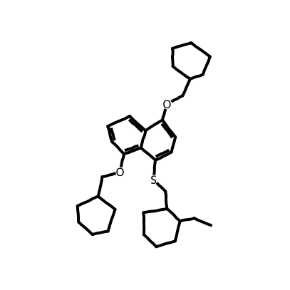 CCC1CCCCC1CSc1ccc(OCC2CCCCC2)c2cccc(OCC3CCCCC3)c12